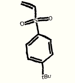 C=CS(=O)(=O)c1ccc(C(C)(C)C)cc1